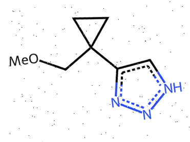 COCC1(c2c[nH]nn2)CC1